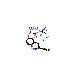 C#Cc1cnc2ccc(OC(SC)C(=O)NC(C)(C)CC#N)cc2c1